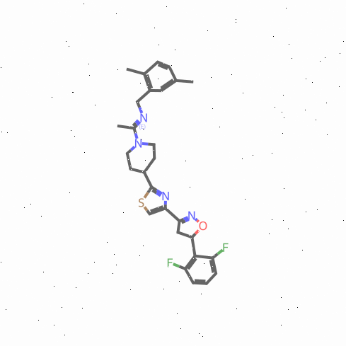 C/C(=N\Cc1cc(C)ccc1C)N1CCC(c2nc(C3=NOC(c4c(F)cccc4F)C3)cs2)CC1